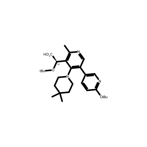 Cc1ncc(-c2ccc(OCC(C)C)nc2)c(N2CCC(C)(C)CC2)c1[C@@H](OC(C)(C)C)C(=O)O